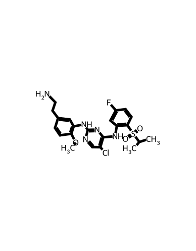 COc1ccc(CCN)cc1Nc1ncc(Cl)c(Nc2cc(F)ccc2S(=O)(=O)C(C)C)n1